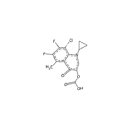 Cc1c(F)c(F)c(Cl)c2c1c(=O)c(OC(=O)O)cn2C1CC1